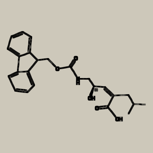 CC(C)CC(=C[C@@H](O)CNC(=O)OCC1c2ccccc2-c2ccccc21)C(=O)O